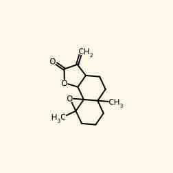 C=C1C(=O)OC2C1CCC1(C)CCCC3(C)OC213